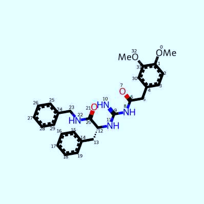 COc1ccc(CC(=O)NC(=N)N[C@H](Cc2ccccc2)C(=O)NCc2ccccc2)cc1OC